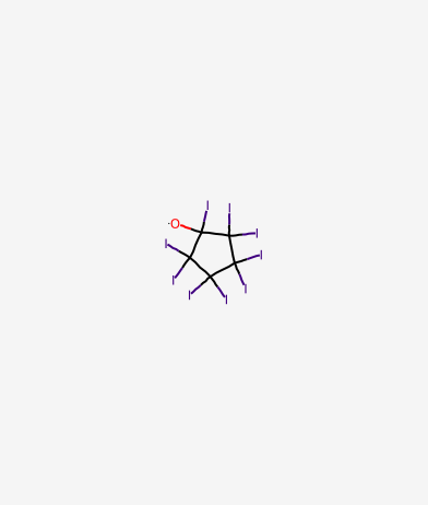 [O]C1(I)C(I)(I)C(I)(I)C(I)(I)C1(I)I